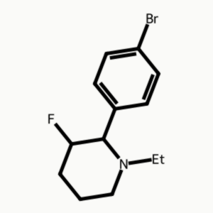 CCN1CCCC(F)C1c1ccc(Br)cc1